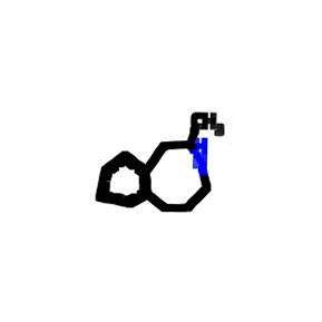 C[C@@H]1Cc2ccccc2CCCN1